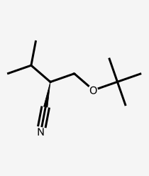 CC(C)[C@H](C#N)COC(C)(C)C